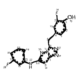 Oc1ccc(Cc2nnc3sc(Nc4cccc(F)c4)nn23)cc1F